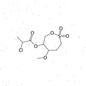 COC1CCS(=O)(=O)OCC1OC(=O)C(C)Cl